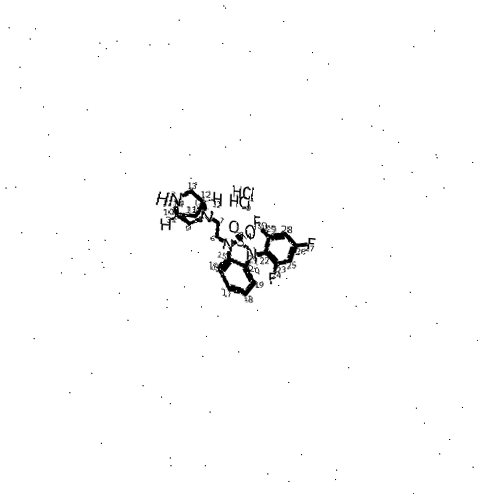 Cl.Cl.O=S1(=O)N(CCN2C[C@@H]3C[C@H]2CN3)c2ccccc2N1c1c(F)cc(F)cc1F